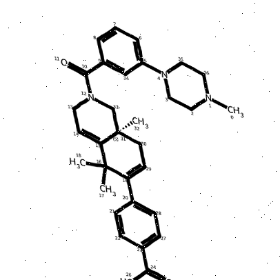 CN1CCN(c2cccc(C(=O)N3CC=C4C(C)(C)C(c5ccc(C(=O)O)cc5)=CC[C@]4(C)C3)c2)CC1